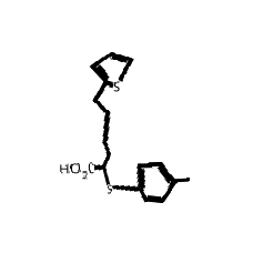 Cc1ccc(SC(CCCCc2cccs2)C(=O)O)cc1